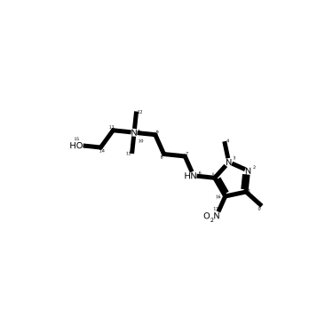 Cc1nn(C)c(NCCC[N+](C)(C)CCO)c1[N+](=O)[O-]